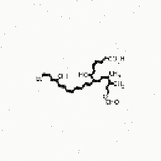 C=C(CCOC=O)C(C)CCC(/C=C/C=C/C=C\C=C\C(O)C/C=C\CC)C(O)C/C=C\CCC(=O)O